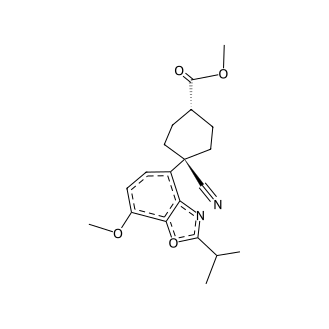 COc1ccc([C@]2(C#N)CC[C@H](C(=O)OC)CC2)c2nc(C(C)C)oc12